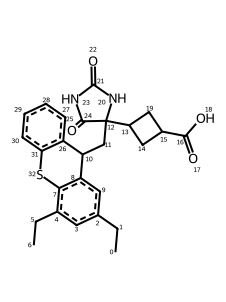 CCc1cc(CC)c2c(c1)C(CC1(C3CC(C(=O)O)C3)NC(=O)NC1=O)c1ccccc1S2